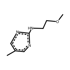 COCCNc1ncc(C)cn1